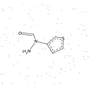 NN(C=O)c1ccsc1